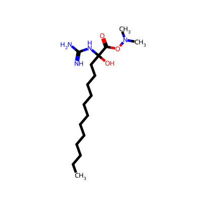 CCCCCCCCCCCCC(O)(NC(=N)N)C(=O)ON(C)C